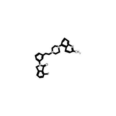 Cc1ccc2c(N3CCN(CCc4cccc(N5Cc6cccc(F)c6C5=O)c4)CC3)cccc2n1